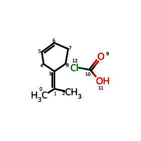 CC(C)=C1CC=CCC1.O=C(O)Cl